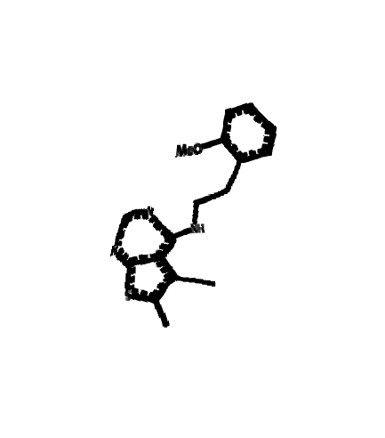 COc1ccccc1CCNc1ncnc2sc(C)c(C)c12